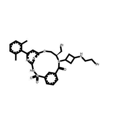 Cc1cccc(C)c1-c1cc2nc(n1)NS(=O)(=O)c1cccc(c1)C(=O)N(C1CC(NCCC(C)C)C1)[C@H](CC(C)C)CO2